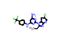 CCc1nc2ncc(Cl)cc2n1-c1nc(N)cc(Nc2ccc(C(F)(F)F)cc2)n1